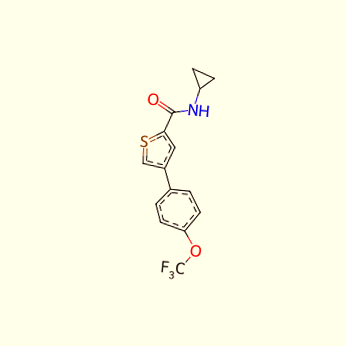 O=C(NC1CC1)c1cc(-c2ccc(OC(F)(F)F)cc2)cs1